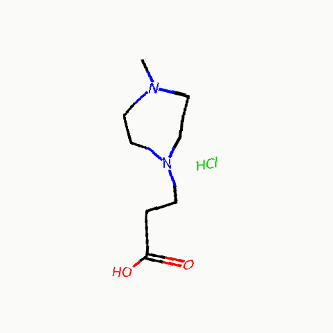 CN1CCN(CCC(=O)O)CC1.Cl